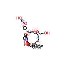 CO[C@H]1C[C@@H](C)C/C(C)=C/[C@@H](C/C=C/CO)C(=O)C[C@H](O)[C@@H](C)[C@@H](/C(C)=C/[C@H]2CC[C@H](OC(=O)N3CC(O)C3)CC2)OC(=O)[C@@H]2CCCCN2C(=O)C(=O)[C@]2(O)O[C@H]1[C@@H](OC)C[C@H]2C